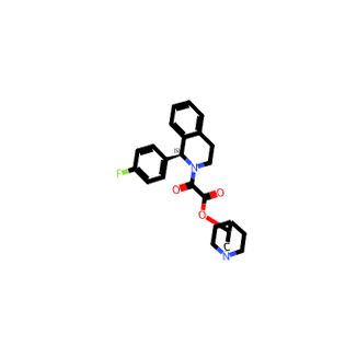 O=C(OC1CN2CCC1CC2)C(=O)N1CCc2ccccc2[C@@H]1c1ccc(F)cc1